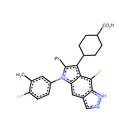 Cc1cc(-n2c(C(C)C)c(C3CCC(C(=O)O)CC3)c3c(F)c4[nH]ncc4cc32)ccc1F